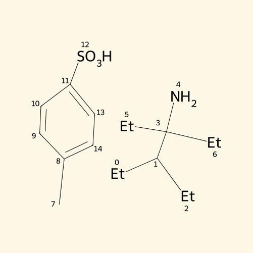 CCC(CC)C(N)(CC)CC.Cc1ccc(S(=O)(=O)O)cc1